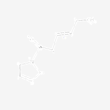 CC/C=C/CC(=O)N1CC=CC1